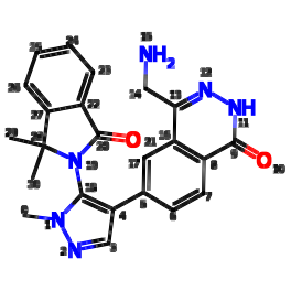 Cn1ncc(-c2ccc3c(=O)[nH]nc(CN)c3c2)c1N1C(=O)c2ccccc2C1(C)C